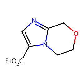 CCOC(=O)c1cnc2n1CCOC2